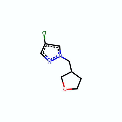 Clc1cnn(CC2CCOC2)c1